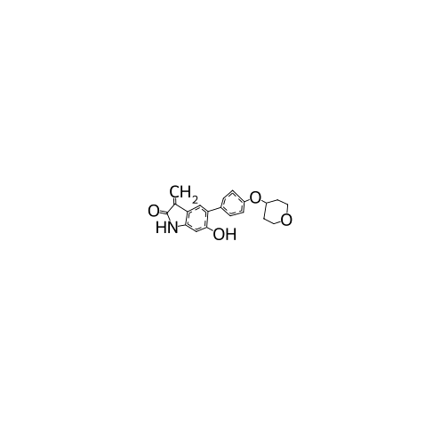 C=C1C(=O)Nc2cc(O)c(-c3ccc(OC4CCOCC4)cc3)cc21